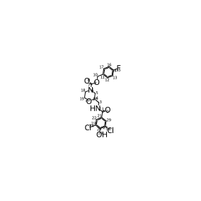 O=C(NC[C@@H]1CN(C(=O)OCc2ccc(F)cc2)CCO1)c1cc(Cl)c(O)c(Cl)c1